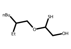 CCCCC(CC)COC(S)CO